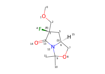 COC[C@]1(F)C[C@H]2COC(C)(C)N2C1=O